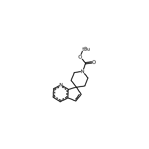 CC(C)(C)OC(=O)N1CCC2(C=Cc3cccnc32)CC1